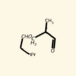 CC(C)C=O.CC(C)CC=O